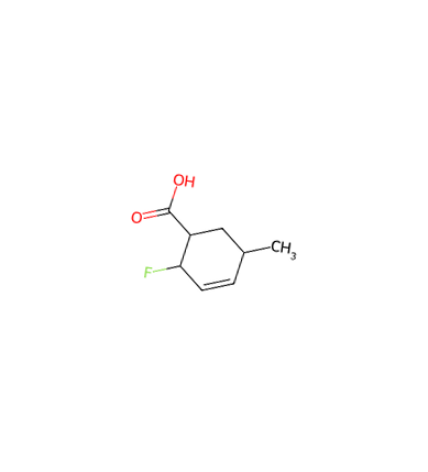 CC1C=CC(F)C(C(=O)O)C1